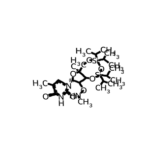 CNOC1C2O[Si](C(C)C)(C(C)C)O[Si](C(C)C)(C(C)C)OC[C@@]2(C)O[C@H]1n1cc(C)c(=O)[nH]c1=O